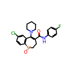 O=C(Nc1ccc(F)cc1)C1=C(N2CCCCC2)c2cc(Cl)ccc2[S+]([O-])CC1